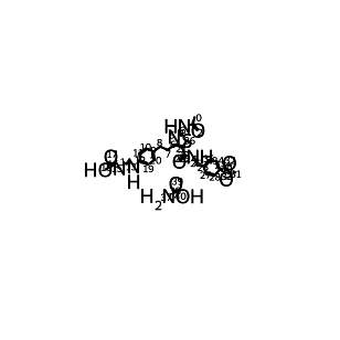 CC(=O)Nc1nc(CCc2ccc(NC=NC(=O)O)cc2)c(C(=O)NCc2ccc(S(C)(=O)=O)cc2)s1.NC(=O)O